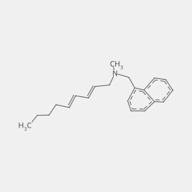 CCCC/C=C/C=C/CN(C)Cc1cccc2ccccc12